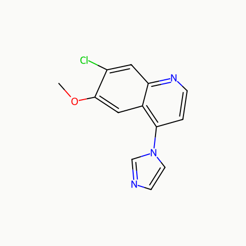 COc1cc2c(-n3ccnc3)ccnc2cc1Cl